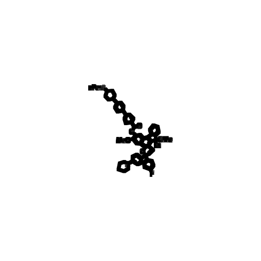 CCCCCC1CCC(c2ccc(-c3ccc(C(=O)Oc4cc5c6c(c7c(c5cc4OC)OC(c4ccc(F)cc4)(c4ccc(N5CCCCC5)cc4)C=C7)C(CC)(OC)c4ccccc4-6)cc3)cc2)CC1